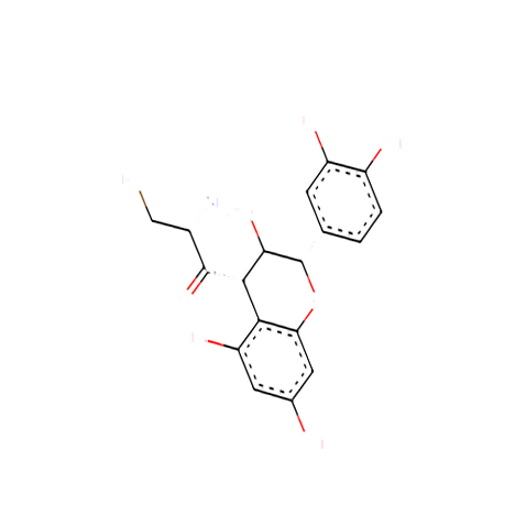 N[C@@H](CS)C(=O)[C@H]1c2c(O)cc(O)cc2O[C@@H](c2ccc(O)c(O)c2)C1O